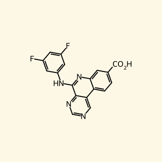 O=C(O)c1ccc2c(c1)nc(Nc1cc(F)cc(F)c1)c1ncncc12